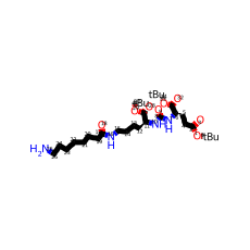 CC(C)(C)OC(=O)CC[C@H](NC(=O)N[C@@H](CCCCNC(=O)CCCCCCCN)C(=O)OC(C)(C)C)C(=O)OC(C)(C)C